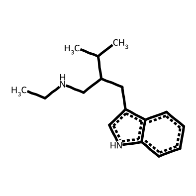 CCNCC(Cc1c[nH]c2ccccc12)C(C)C